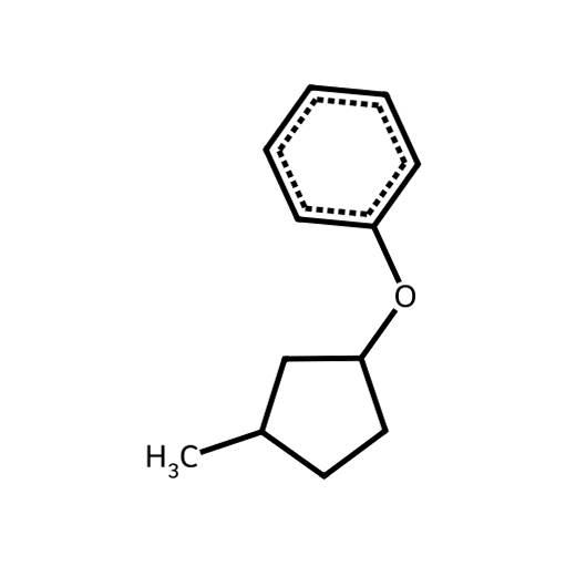 CC1CCC(Oc2ccccc2)C1